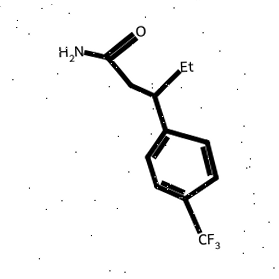 CCC(CC(N)=O)c1ccc(C(F)(F)F)cc1